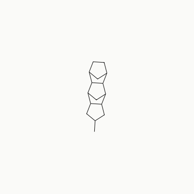 CC1CC2C(C1)C1CC2C2C3CCC(C3)C12